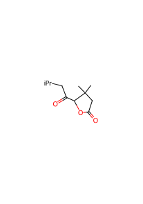 CC(C)CC(=O)C1OC(=O)CC1(C)C